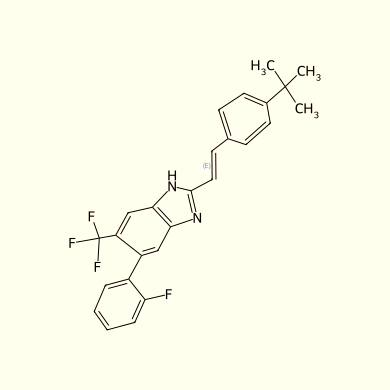 CC(C)(C)c1ccc(/C=C/c2nc3cc(-c4ccccc4F)c(C(F)(F)F)cc3[nH]2)cc1